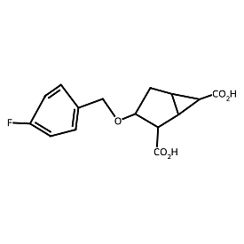 O=C(O)C1C(OCc2ccc(F)cc2)CC2C(C(=O)O)C21